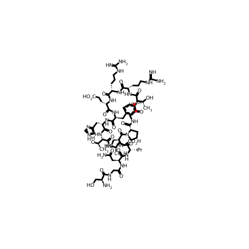 CC(C)[C@H](NC(=O)[C@H](CC(N)=O)NC(=O)CNC(=O)[C@@H](N)CO)C(=O)N[C@@H](CO)C(=O)N1CCC[C@H]1C(=O)NCC(=O)N[C@H](C(=O)N[C@@H](CCCNC(=N)N)C(=O)N[C@@H](CCCNC(=N)N)C(=O)N[C@@H](CCC(=O)O)C(=O)N[C@@H](Cc1ccc(O)cc1)C(=O)N[C@@H](Cc1c[nH]cn1)C(=O)N[C@H](C(=O)N[C@@H](CCC(=O)O)C(=O)O)[C@@H](C)O)[C@@H](C)O